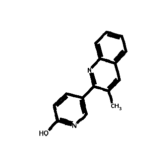 Cc1cc2ccccc2nc1-c1ccc(O)nc1